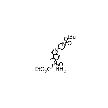 CCOC(=O)CCN(C(N)=O)c1ccc2c(ccn2C2CCN(C(=O)OC(C)(C)C)CC2)c1C